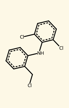 ClCc1ccccc1Nc1c(Cl)cccc1Cl